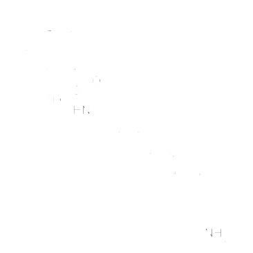 Cc1ccc(S(=O)(=O)NCCCCSc2ccc(N)cc2)cc1